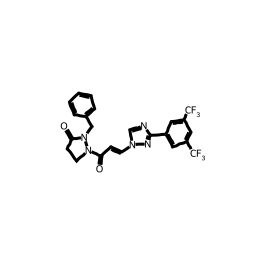 O=C(C=Cn1cnc(-c2cc(C(F)(F)F)cc(C(F)(F)F)c2)n1)N1CCC(=O)N1Cc1ccccc1